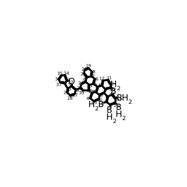 Bc1c(B)c(B)c(-c2c3ccccc3c(-c3cc4ccccc4c4cc(-c5cccc6c5oc5ccccc56)ccc34)c3ccccc23)c(B)c1B